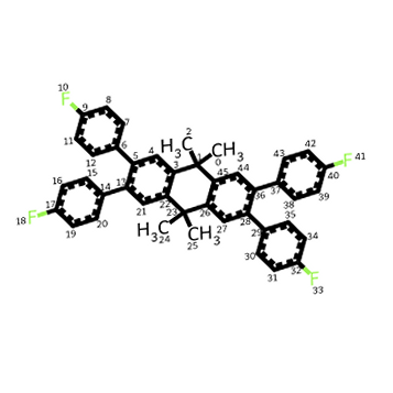 CC1(C)c2cc(-c3ccc(F)cc3)c(-c3ccc(F)cc3)cc2C(C)(C)c2cc(-c3ccc(F)cc3)c(-c3ccc(F)cc3)cc21